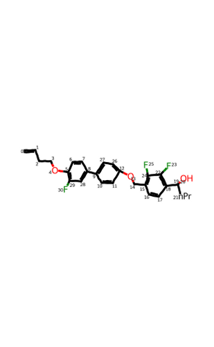 C=CCCOc1ccc(-c2ccc(OCc3ccc(C(O)CCC)c(F)c3F)cc2)cc1F